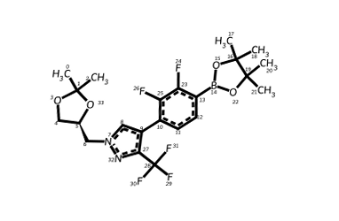 CC1(C)OC[C@H](Cn2cc(-c3ccc(B4OC(C)(C)C(C)(C)O4)c(F)c3F)c(C(F)(F)F)n2)O1